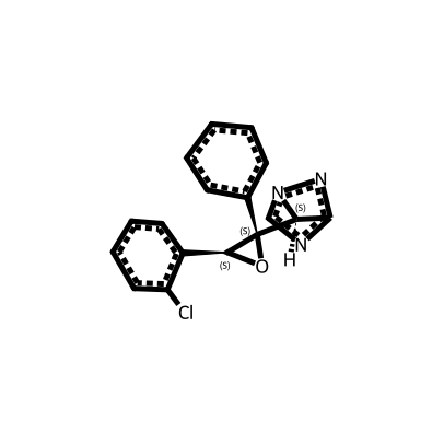 Clc1ccccc1[C@@H]1O[C@@]1(c1ccccc1)[C@@H]1c2ncn1n2